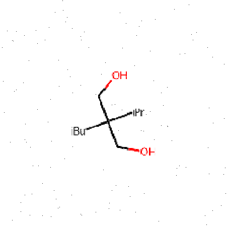 CCC(C)C(CO)(CO)C(C)C